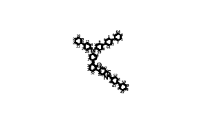 c1ccc(-c2ccc(-c3ccc(N(c4ccc(-c5ccccc5)cc4)c4ccc(-c5cccc6c5oc5cc7sc(-c8ccc(-c9ccccc9)cc8)nc7cc56)cc4)cc3)cc2)cc1